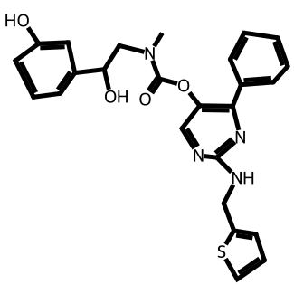 CN(CC(O)c1cccc(O)c1)C(=O)Oc1cnc(NCc2cccs2)nc1-c1ccccc1